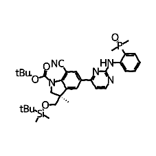 CC(C)(C)OC(=O)N1C[C@](C)(CO[Si](C)(C)C(C)(C)C)c2cc(-c3ccnc(Nc4ccccc4P(C)(C)=O)n3)cc(C#N)c21